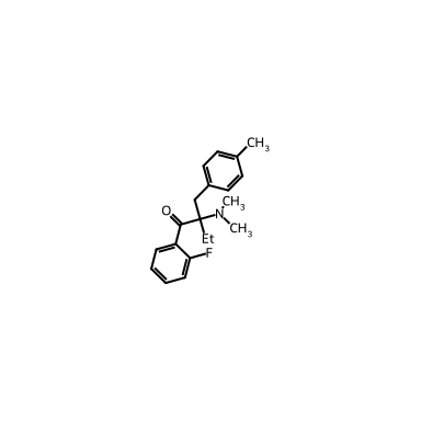 CCC(Cc1ccc(C)cc1)(C(=O)c1ccccc1F)N(C)C